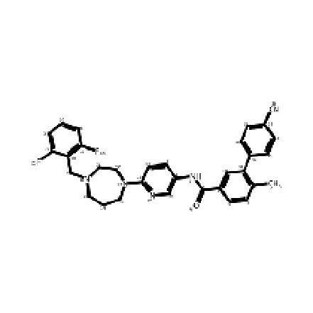 Cc1ccc(C(=O)Nc2ccc(N3CCCN(Cc4c(F)cccc4F)CC3)nc2)cc1-c1ccc(C#N)cc1